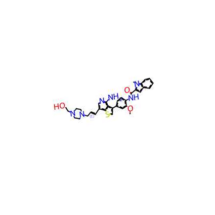 COc1cc(-c2csc3c(/C=C/CN4CCN(CCO)CC4)cnc(N)c23)ccc1NC(=O)c1cc2ccccc2n1C